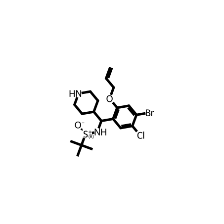 C=CCOc1cc(Br)c(Cl)cc1C(N[S@@+]([O-])C(C)(C)C)C1CCNCC1